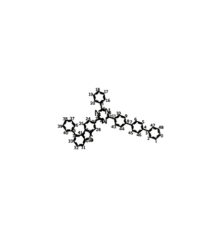 c1ccc(-c2ccc(-c3ccc(-c4nc(-c5ccccc5)nc(-c5ccc6c(c5)sc5cccc(-c7ccccc7)c56)n4)cc3)cc2)cc1